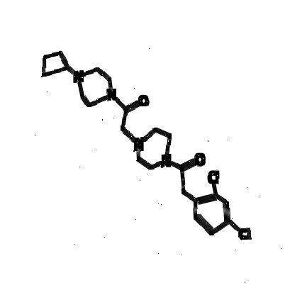 O=C(Cc1ccc(Cl)cc1Cl)N1CCN(CC(=O)N2CCN(C3CCC3)CC2)CC1